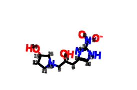 O=[N+]([O-])c1nc(CC(O)CN2CCC(O)C2)c[nH]1